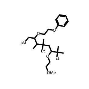 CCC(C)CC(OCCOc1ccccc1)C(C)C(C)(CC)CC(OCCOC)C(C)(C)CC